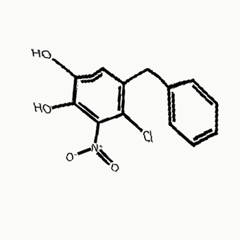 O=[N+]([O-])c1c(O)c(O)cc(Cc2ccccc2)c1Cl